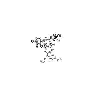 CCCC[N+](CCCC)(CCCC)CCCC.O=c1ccn([C@H]2O[C@@H](COP(=O)([O-])O)C(O)C2O)c(=O)[nH]1